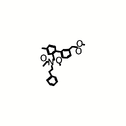 COC(=O)Cc1ccc(OC)c(-c2ccc(C)cc2CN(CCc2ccccc2)C(C)=O)c1